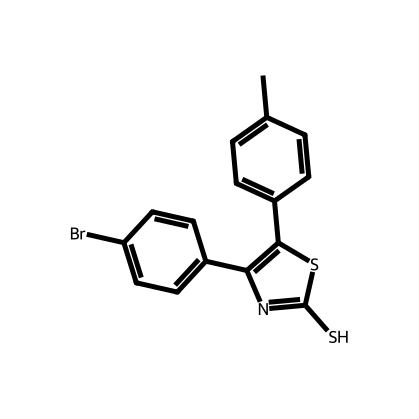 Cc1ccc(-c2sc(S)nc2-c2ccc(Br)cc2)cc1